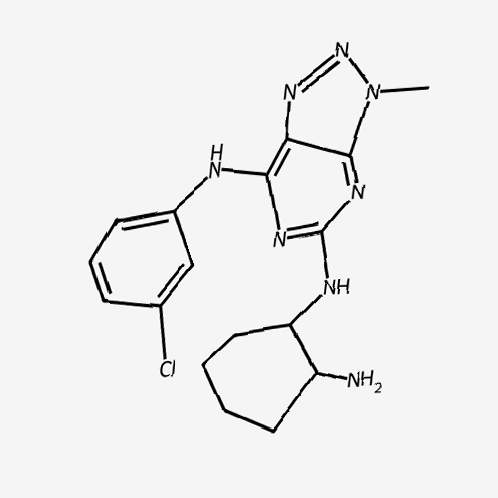 Cn1nnc2c(Nc3cccc(Cl)c3)nc(NC3CCCCC3N)nc21